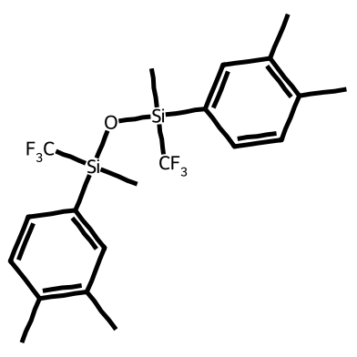 Cc1ccc([Si](C)(O[Si](C)(c2ccc(C)c(C)c2)C(F)(F)F)C(F)(F)F)cc1C